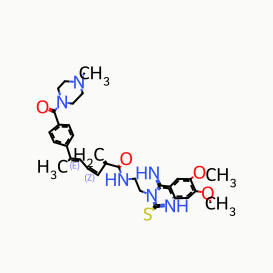 C=C(/C=C\C=C(/C)c1ccc(C(=O)N2CCN(C)CC2)cc1)C(=O)NCCn1c(=S)[nH]c2cc(OC)c(OC)cc2c1=N